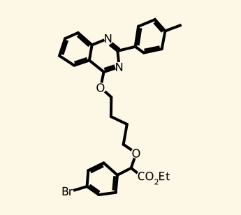 CCOC(=O)C(OCCCCOc1nc(-c2ccc(C)cc2)nc2ccccc12)c1ccc(Br)cc1